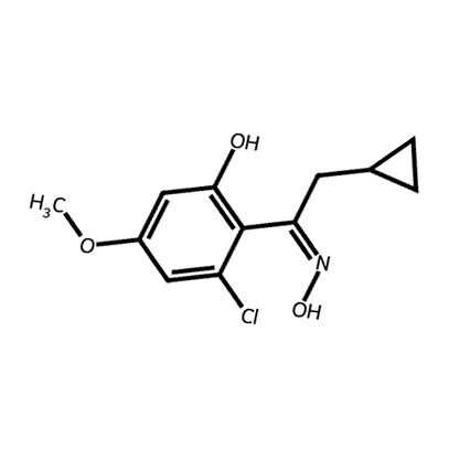 COc1cc(O)c(/C(CC2CC2)=N\O)c(Cl)c1